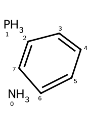 N.P.c1ccccc1